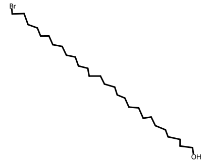 OCCCCCCCCCCCCCCCCCCCCCCCCCCCCBr